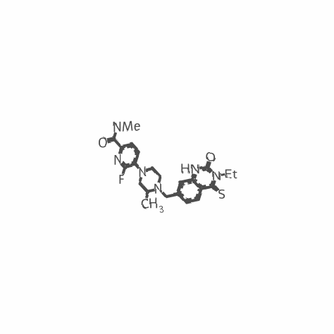 CCn1c(=O)[nH]c2cc(CN3CCN(c4ccc(C(=O)NC)nc4F)CC3C)ccc2c1=S